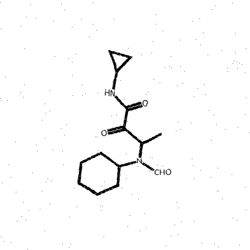 CC(C(=O)C(=O)NC1CC1)N(C=O)C1CCCCC1